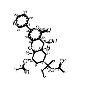 CCC(C)(OC(C)=O)[C@H]1C[C@@H](OC(C)=O)[C@]2(C)Oc3cc(-c4cccnc4)oc(=O)c3[C@@H](O)[C@@H]2C1